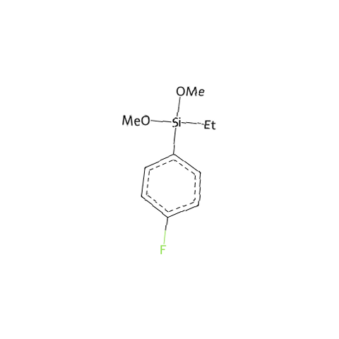 CC[Si](OC)(OC)c1ccc(F)cc1